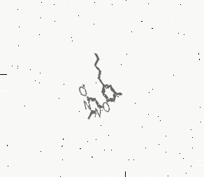 CCCCCc1cc(C)cc(Oc2cc(OC)nc(C)n2)c1